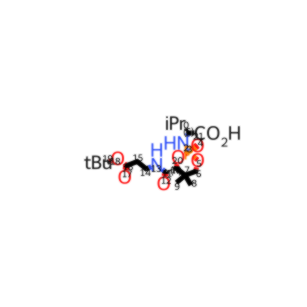 CC(C)[C@H](NP1(=O)OCC(C)(C)[C@H](C(=O)NCCC(=O)OC(C)(C)C)O1)C(=O)O